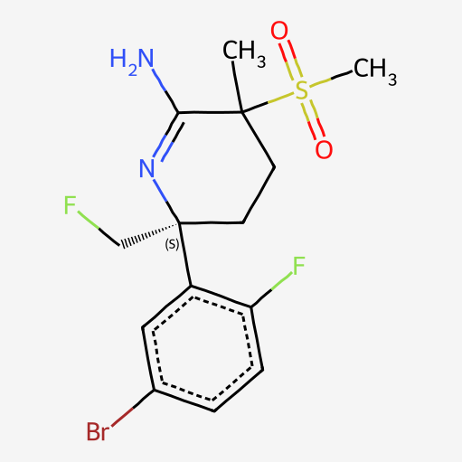 CC1(S(C)(=O)=O)CC[C@@](CF)(c2cc(Br)ccc2F)N=C1N